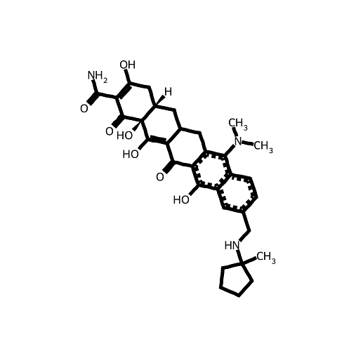 CN(C)c1c2c(c(O)c3cc(CNC4(C)CCCC4)ccc13)C(=O)C1=C(O)[C@]3(O)C(=O)C(C(N)=O)=C(O)C[C@@H]3CC1C2